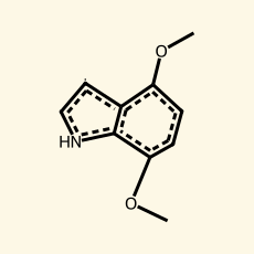 COc1ccc(OC)c2[nH]c[c]c12